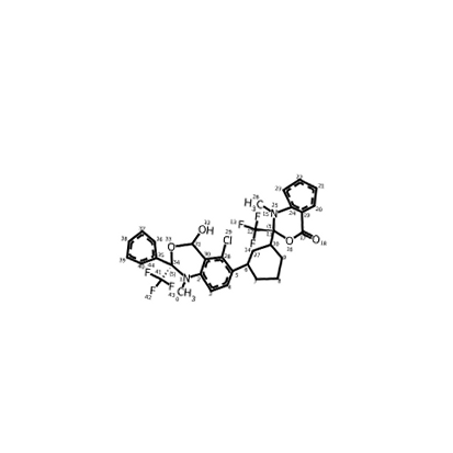 CN1c2ccc(C3CCCC([C@@]4(C(F)(F)F)OC(=O)c5ccccc5N4C)C3)c(Cl)c2C(O)O[C@@]1(c1ccccc1)C(F)(F)F